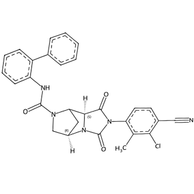 Cc1c(N2C(=O)[C@@H]3C4C[C@H](CN4C(=O)Nc4ccccc4-c4ccccc4)N3C2=O)ccc(C#N)c1Cl